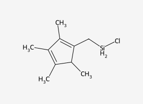 CC1=C(C)C(C)C(C[SiH2]Cl)=C1C